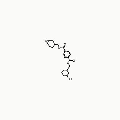 O=C(OCC1CCCC(O)C1)c1ccc(C(=O)OCC2CCC3OC3C2)cc1